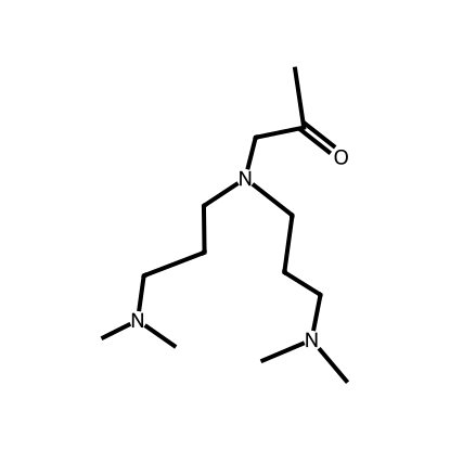 CC(=O)CN(CCCN(C)C)CCCN(C)C